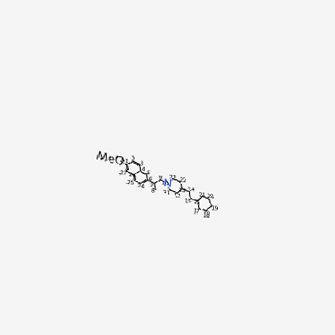 COc1ccc2cc(C(C)CN3CCC(CCC4CCCCC4)CC3)ccc2c1